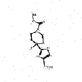 CCOC(=O)c1csc(C2(F)CCN(C(=O)OC(C)(C)C)CC2)n1